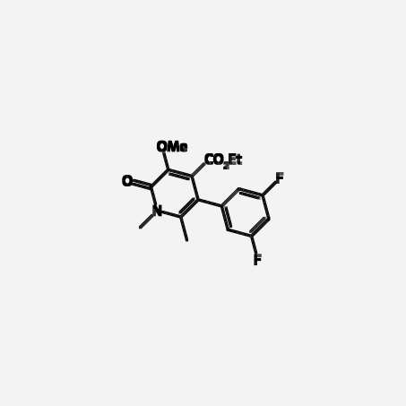 CCOC(=O)c1c(-c2cc(F)cc(F)c2)c(C)n(C)c(=O)c1OC